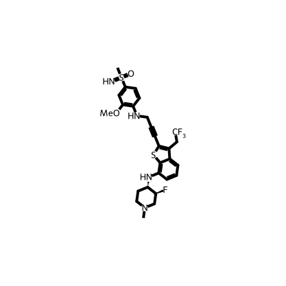 COc1cc(S(C)(=N)=O)ccc1NCC#Cc1sc2c(N[C@H]3CCN(C)C[C@@H]3F)cccc2c1CC(F)(F)F